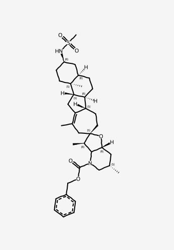 CC1=C2C[C@H]3[C@@H](CC[C@@H]4C[C@H](NS(C)(=O)=O)CC[C@@]43C)[C@@H]2CC[C@@]2(C1)O[C@@H]1C[C@H](C)CN(C(=O)OCc3ccccc3)C1[C@H]2C